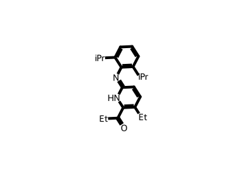 CCC(=O)c1[nH]c(=Nc2c(C(C)C)cccc2C(C)C)ccc1CC